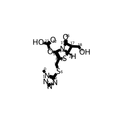 Cn1nnnc1SCC1=C(OC(=O)O)N2C(=O)C(CO)[C@@H]2S1